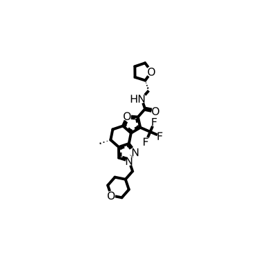 C[C@@H]1Cc2oc(C(=O)NC[C@@H]3CCCO3)c(C(F)(F)F)c2-c2nn(CC3CCOCC3)cc21